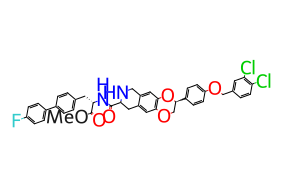 COC(=O)[C@H](Cc1ccc(-c2ccc(F)cc2)cc1)NC(=O)C1Cc2cc3c(cc2CN1)O[C@@H](c1ccc(OCc2ccc(Cl)c(Cl)c2)cc1)CO3